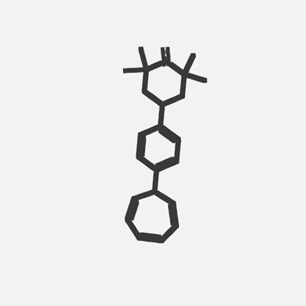 CC1(C)CC(c2ccc(C3C=CC=CC=C3)cc2)CC(C)(C)N1